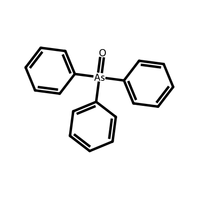 O=[As](c1ccccc1)(c1ccccc1)c1ccccc1